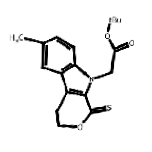 Cc1ccc2c(c1)c1c(n2CC(=O)OC(C)(C)C)C(=S)OCC1